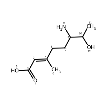 C/C(=C\C(=O)O)CCC(N)C(C)O